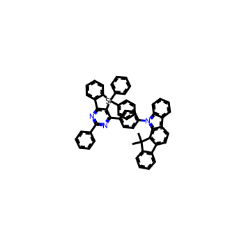 CC1(C)c2ccccc2-c2ccc3c4ccccc4n(-c4ccc(-c5nc(-c6ccccc6)nc6c5[Si](c5ccccc5)(c5ccccc5)c5ccccc5-6)cc4)c3c21